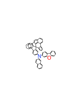 c1ccc2c(c1)-c1ccc(N(c3ccc4ccccc4c3)c3ccc4c(c3)oc3ccccc34)cc1C21c2ccccc2-c2cccc3ccc(C4CCCCC4)c1c23